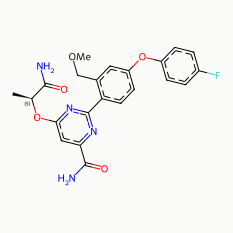 COCc1cc(Oc2ccc(F)cc2)ccc1-c1nc(O[C@@H](C)C(N)=O)cc(C(N)=O)n1